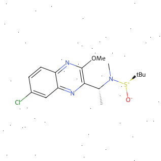 COc1nc2ccc(Cl)cc2nc1[C@@H](C)N(C)[S@+]([O-])C(C)(C)C